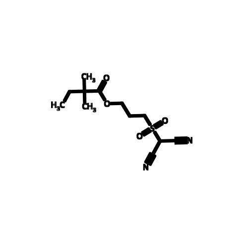 CCC(C)(C)C(=O)OCCCS(=O)(=O)C(C#N)C#N